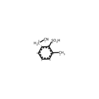 CC#N.Cc1ccccc1S(=O)(=O)O